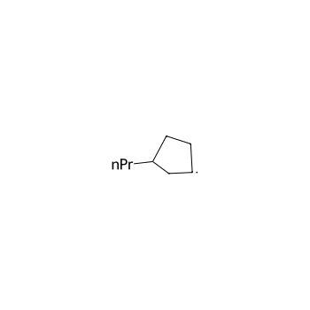 CCCC1C[CH]CC1